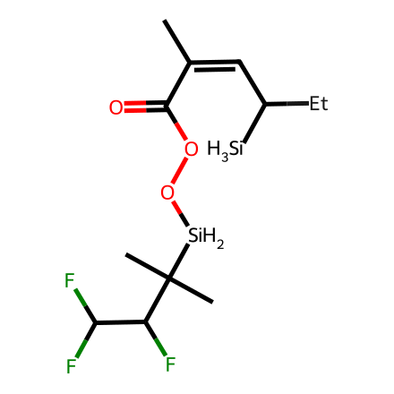 CCC([SiH3])C=C(C)C(=O)OO[SiH2]C(C)(C)C(F)C(F)F